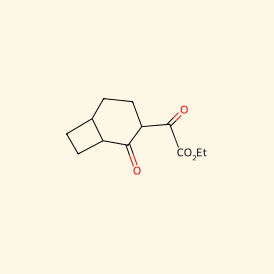 CCOC(=O)C(=O)C1CCC2CCC2C1=O